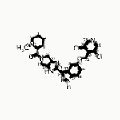 CN1CCCC[C@H]1C(=O)N1Cc2nc(-c3n[nH]c4ccc(OCc5c(Cl)cncc5Cl)cc34)[nH]c2C1